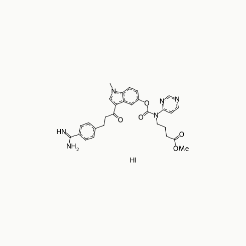 COC(=O)CCCN(C(=O)Oc1ccc2c(c1)c(C(=O)CCc1ccc(C(=N)N)cc1)cn2C)c1ccncn1.I